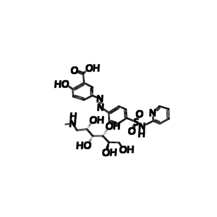 CNC[C@H](O)[C@@H](O)[C@H](O)[C@H](O)CO.O=C(O)c1cc(N=Nc2ccc(S(=O)(=O)Nc3ccccn3)cc2)ccc1O